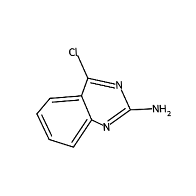 Nc1nc(Cl)c2ccccc2n1